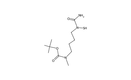 CN(CCCCN(S)C(N)=O)C(=O)OC(C)(C)C